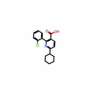 O=C(O)c1ccc(C2CCCCC2)nc1-c1ccccc1Cl